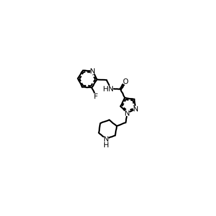 O=C(NCc1ncccc1F)c1cnn(CC2CCCNC2)c1